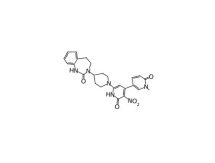 Cn1cc(-c2cc(N3CCC(N4CCc5ccccc5NC4=O)CC3)[nH]c(=O)c2[N+](=O)[O-])ccc1=O